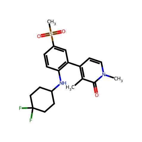 Cc1c(-c2cc(S(C)(=O)=O)ccc2NC2CCC(F)(F)CC2)ccn(C)c1=O